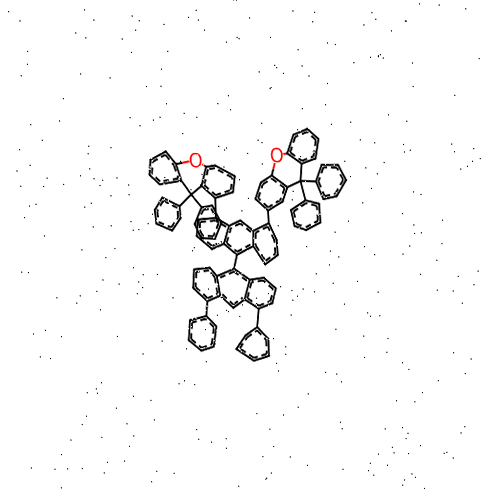 c1ccc(-c2cccc3c(-c4c5cccc(-c6ccc7c(c6)C(c6ccccc6)(c6ccccc6)c6ccccc6O7)c5cc5c(-c6cccc7c6C(c6ccccc6)(c6ccccc6)c6ccccc6O7)cccc45)c4cccc(-c5ccccc5)c4cc23)cc1